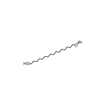 CC(C)OCCCCCCCCCCCCCCCCO